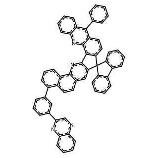 c1ccc(-c2c3ccccc3nc3c4c(ccc23)C2(c3ccccc3-c3ccccc32)c2cc3ccc5c(-c6cccc(-c7cnc8ccccc8n7)c6)cccc5c3nc2-4)cc1